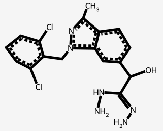 Cc1nn(Cc2c(Cl)cccc2Cl)c2cc(C(O)/C(=N/N)NN)ccc12